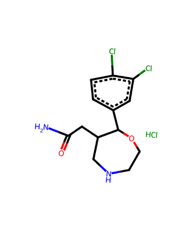 Cl.NC(=O)CC1CNCCOC1c1ccc(Cl)c(Cl)c1